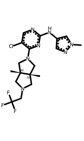 Cn1cc(Nc2ncc(Cl)c(N3C[C@]4(C)CN(CC(F)(F)F)C[C@]4(C)C3)n2)cn1